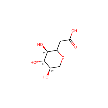 O=C(O)CC1OC[C@@H](O)[C@H](O)[C@H]1O